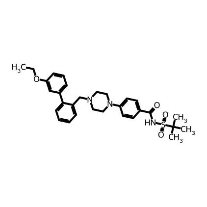 CCOc1cccc(-c2ccccc2CN2CCN(c3ccc(C(=O)NS(=O)(=O)C(C)(C)C)cc3)CC2)c1